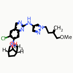 C=C(CCn1cc(Nc2ncc3cc(Cl)c(N4C[C@H]5CC[C@@H](C4)[C@@]5(C)O)cc3n2)cn1)COC